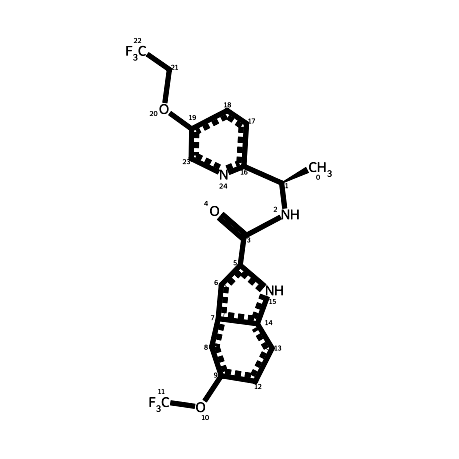 C[C@@H](NC(=O)c1cc2cc(OC(F)(F)F)ccc2[nH]1)c1ccc(OCC(F)(F)F)cn1